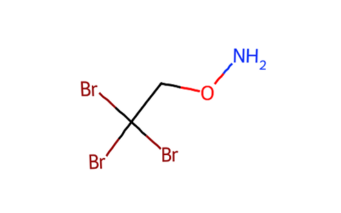 NOCC(Br)(Br)Br